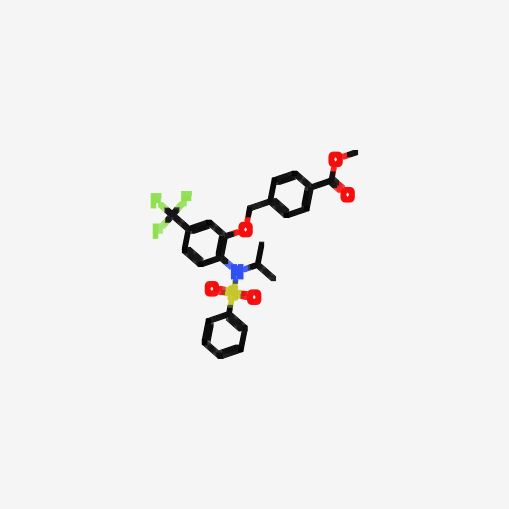 COC(=O)c1ccc(COc2cc(C(F)(F)F)ccc2N(C(C)C)S(=O)(=O)c2ccccc2)cc1